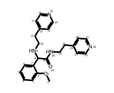 COc1ccccc1C(NCCc1ccncc1)C(=O)NCCc1ccncc1